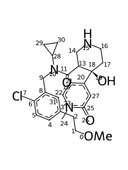 COCCc1ccc(Cl)c(CN(C(=O)C2CNCC[C@]2(O)c2ccn(C)c(=O)c2)C2CC2)c1